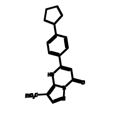 CCOC(=O)c1cnn2c(=O)cc(-c3ccc(C4CCCC4)cc3)[nH]c12